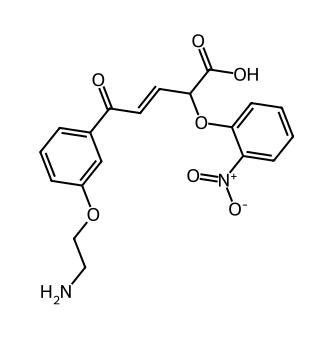 NCCOc1cccc(C(=O)C=CC(Oc2ccccc2[N+](=O)[O-])C(=O)O)c1